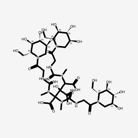 CN(C(=N)NCC(=O)N1C[C@H](O)[C@@H](O)[C@H](O)[C@H]1CO)C(C(=O)O)C(O)(C(=O)O)C(C(=O)O)(N(C)C(=N)NCC(=O)N1C[C@H](O)[C@@H](O)[C@H](O)[C@H]1CO)N(C)C(=N)NCC(=O)N1C[C@H](O)[C@@H](O)[C@H](O)[C@H]1CO